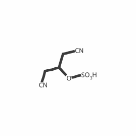 N#CCC(CC#N)OS(=O)(=O)O